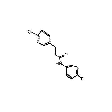 O=C(CCc1ccc(Cl)cc1)Nc1ccc(F)cc1